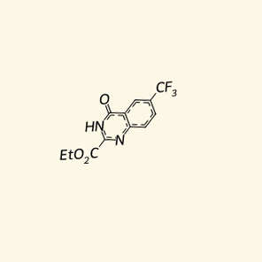 CCOC(=O)c1nc2ccc(C(F)(F)F)cc2c(=O)[nH]1